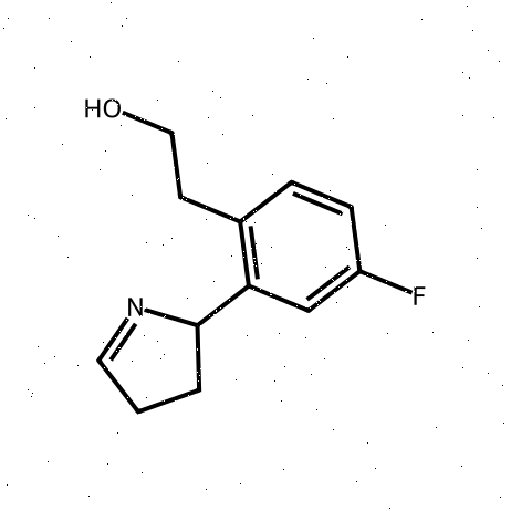 OCCc1ccc(F)cc1C1CCC=N1